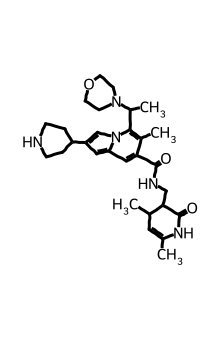 CC1=CC(C)C(CNC(=O)c2cc3cc(C4CCNCC4)cn3c(C(C)N3CCOCC3)c2C)C(=O)N1